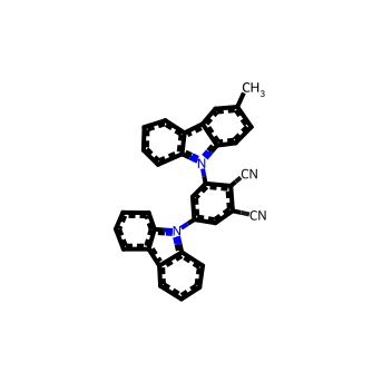 Cc1ccc2c(c1)c1ccccc1n2-c1cc(-n2c3ccccc3c3ccccc32)cc(C#N)c1C#N